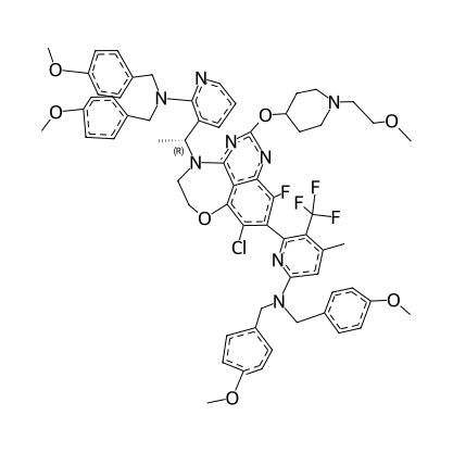 COCCN1CCC(Oc2nc3c4c(c(Cl)c(-c5nc(N(Cc6ccc(OC)cc6)Cc6ccc(OC)cc6)cc(C)c5C(F)(F)F)c(F)c4n2)OCCN3[C@H](C)c2cccnc2N(Cc2ccc(OC)cc2)Cc2ccc(OC)cc2)CC1